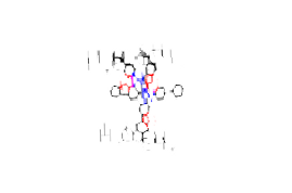 CC(C)(C)c1ccc(N2c3c(oc4ccc(C(C)(C)C)cc34)B3c4c(cc5c(oc6ccccc65)c42)-c2cc4c(cc2N3c2ccc(-c3ccccc3)cc2)oc2cc3c(cc24)C(C)(C)CCC3(C)C)cc1